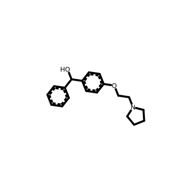 OC(c1ccccc1)c1ccc(OCCN2CCCC2)cc1